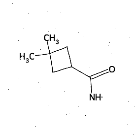 CC1(C)CC(C([NH])=O)C1